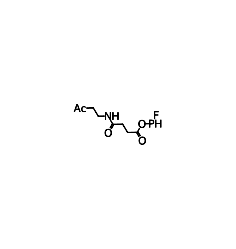 CC(=O)CCNC(=O)CCC(=O)OPF